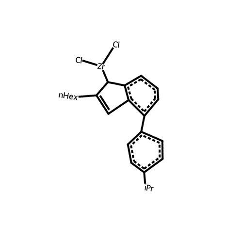 CCCCCCC1=Cc2c(-c3ccc(C(C)C)cc3)cccc2[CH]1[Zr]([Cl])[Cl]